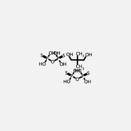 CC(C)(CO)CO.OP(O)(=S)OP(O)(O)=S.OP(O)(=S)OP(O)(O)=S